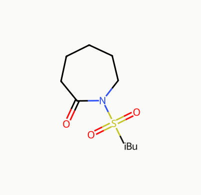 CCC(C)S(=O)(=O)N1CCCCCC1=O